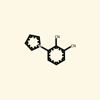 N#Cc1cccc(-n2c[c]cc2)c1C#N